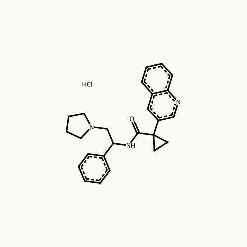 Cl.O=C(NC(CN1CCCC1)c1ccccc1)C1(c2cnc3ccccc3c2)CC1